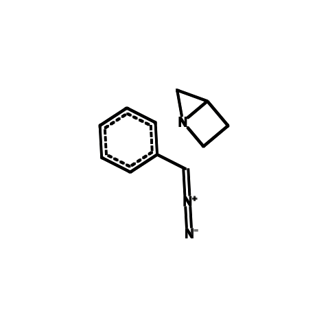 C1CN2CC12.[N-]=[N+]=Cc1ccccc1